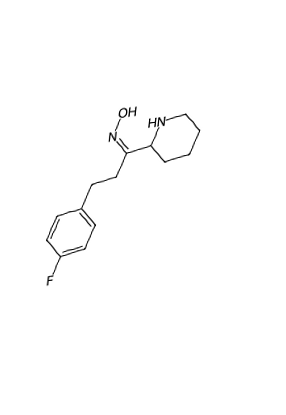 ON=C(CCc1ccc(F)cc1)C1CCCCN1